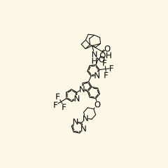 O=C(NC1(C(=O)O)C2CC3CC4CC1C4(C3)C2)c1ccc(-c2cn(-c3ccc(C(F)(F)F)cn3)c3cc(OC4CCN(c5ncccn5)CC4)ccc23)nc1C(F)(F)F